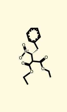 CCOC(=O)C(C(=O)OCC)[C@@H](Cc1ccccc1)[N+](=O)[O-]